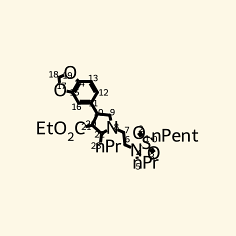 CCCCCS(=O)(=O)N(CCC)CCN1CC(c2ccc3c(c2)OCO3)C(C(=O)OCC)C1CCC